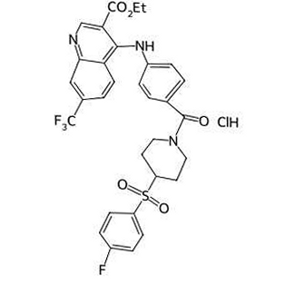 CCOC(=O)c1cnc2cc(C(F)(F)F)ccc2c1Nc1ccc(C(=O)N2CCC(S(=O)(=O)c3ccc(F)cc3)CC2)cc1.Cl